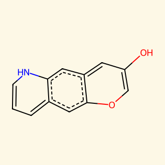 OC1=COc2cc3c(cc2=C1)NC=CC=3